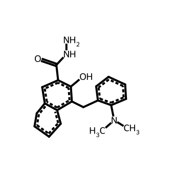 CN(C)c1ccccc1Cc1c(O)c(C(=O)NN)cc2ccccc12